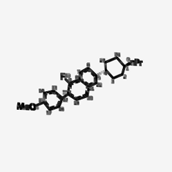 CCC[C@H]1CC[C@H](c2ccc3c(F)c(-c4ccc(OC)cc4)ccc3c2)CC1